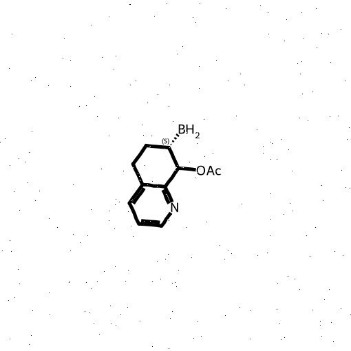 B[C@H]1CCc2cccnc2C1OC(C)=O